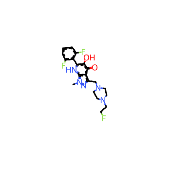 Cn1nc(CN2CCN(CCF)CC2)c2c(=O)c(O)c(-c3c(F)cccc3F)[nH]c21